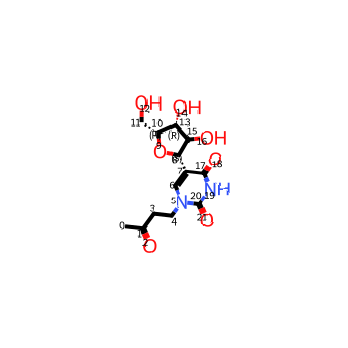 CC(=O)CCn1cc([C@@H]2O[C@H](CO)[C@H](O)C2O)c(=O)[nH]c1=O